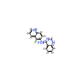 Fc1c(Nc2ncnc3ccccc23)ccc2ncccc12